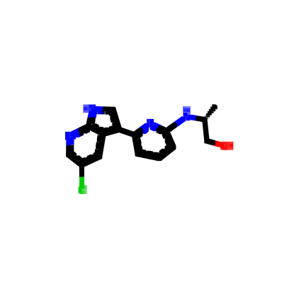 C[C@H](CO)Nc1cccc(-c2c[nH]c3ncc(Cl)cc23)n1